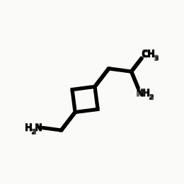 CC(N)CC1CC(CN)C1